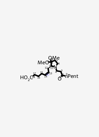 CCCCCC(=O)CCN1CCC(OC)(OC)[C@@H]1C/C=C\CCCC(=O)O